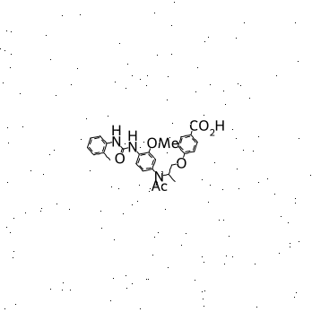 COc1cc(N(C(C)=O)C(C)COc2ccc(C(=O)O)cc2)ccc1NC(=O)Nc1ccccc1C